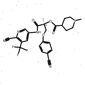 CN1CCC(C(=O)O[C@@](C)(COc2ccc(C#N)cc2)C(=O)Nc2cnc(C#N)c(C(F)(F)F)c2)CC1